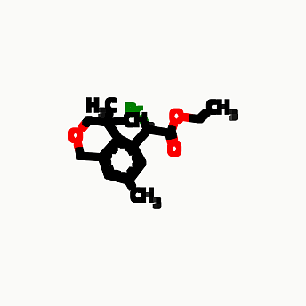 CCOC(=O)C(Br)c1cc(C)cc2c1C(C)(C)COC2